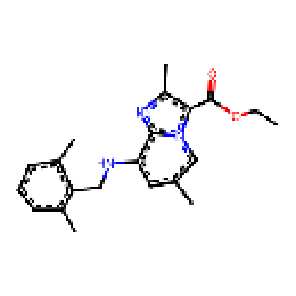 CCOC(=O)c1c(C)nc2c(NCc3c(C)cccc3C)cc(C)cn12